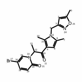 Cc1cc(Cn2c(C)cc(C(=O)C(C)n3cc(Br)ccc3=O)c2C)no1